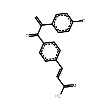 C=C(C(=O)c1ccc(/C=C/C(=O)O)cc1)c1ccc(Cl)cc1